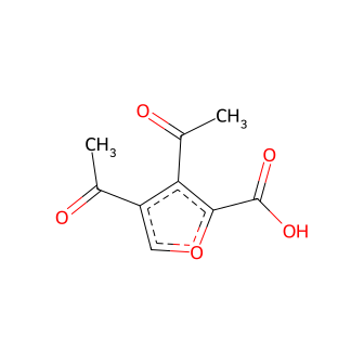 CC(=O)c1coc(C(=O)O)c1C(C)=O